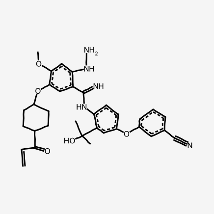 C=CC(=O)C1CCC(Oc2cc(C(=N)Nc3ccc(Oc4cccc(C#N)c4)cc3C(C)(C)O)c(NN)cc2OC)CC1